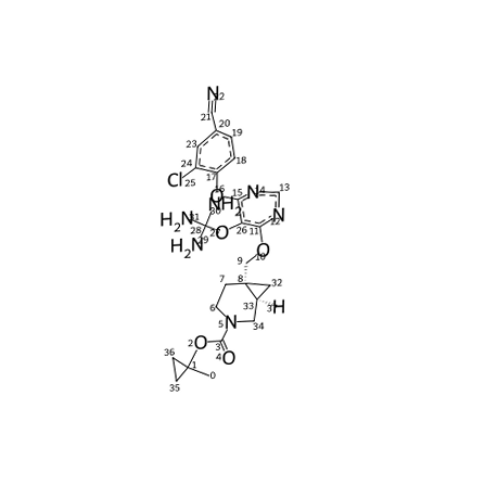 CC1(OC(=O)N2CC[C@@]3(COc4ncnc(Oc5ccc(C#N)cc5Cl)c4OC(N)(N)N)C[C@H]3C2)CC1